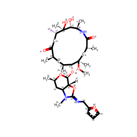 CO[C@]1(C)C[C@@H](C)C(=O)N[C@H](C)[C@@H](O)[C@](C)(O)[C@@H](I)CC(=O)[C@H](C)C[C@H](C)[C@H]1O[C@@H]1O[C@H](C)CC2[C@H]1O/C(=N\Cc1ccco1)N2C